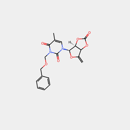 C=C1O[C@@H](n2cc(C)c(=O)n(COCc3ccccc3)c2=O)[C@H]2OC(=O)OC12